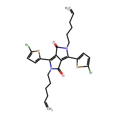 C=CCCCCN1C(=O)C2=C(c3ccc(Br)s3)N(CCCCC=C)C(=O)C2=C1c1ccc(Br)s1